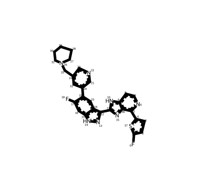 Fc1ccc(-c2nccc3[nH]c(-c4n[nH]c5cc(F)c(-c6cncc(CN7CCCCC7)c6)cc45)nc23)s1